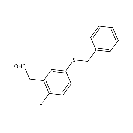 O=CCc1cc(SCc2ccccc2)ccc1F